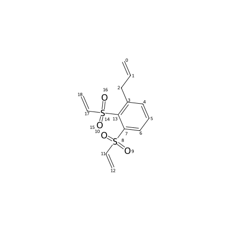 C=CCc1cccc(S(=O)(=O)C=C)c1S(=O)(=O)C=C